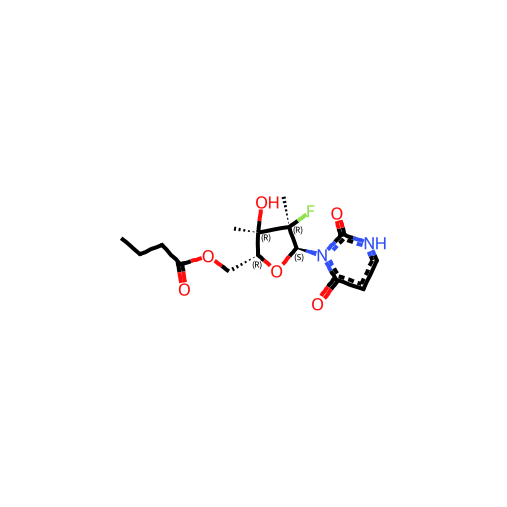 CCCC(=O)OC[C@H]1O[C@H](n2c(=O)cc[nH]c2=O)[C@](C)(F)[C@]1(C)O